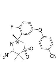 CC1(C)C(N)=N[C@](C)(c2cc(Oc3ccc(C#N)cc3)ccc2F)CS1(=O)=O